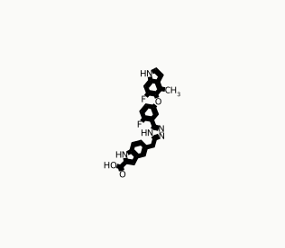 Cc1c(Oc2ccc(F)c(-c3nnc(Cc4ccc5[nH]c(C(=O)O)cc5c4)[nH]3)c2)c(F)cc2[nH]ccc12